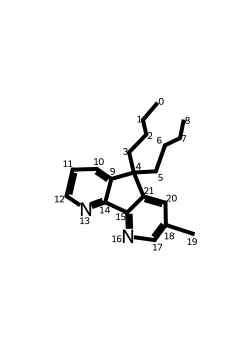 CCCCC1(CCCC)c2cccnc2-c2ncc(C)cc21